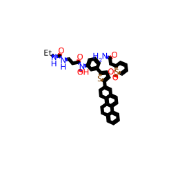 CCNC(=O)NCCC(=O)N(O)c1cccc(-c2ccc(C3=Cc4ccc5c(c4CC3)CCc3ccccc3-5)s2)c1.NC(=O)CC1C=CC=CS1(=O)=O